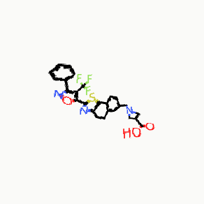 O=C(O)C1CN(Cc2ccc3c(c2)CCc2nc(-c4onc(-c5ccccc5)c4C(F)(F)F)sc2-3)C1